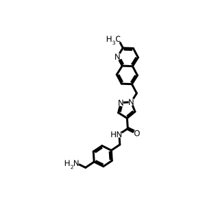 Cc1ccc2cc(Cn3cc(C(=O)NCc4ccc(CN)cc4)cn3)ccc2n1